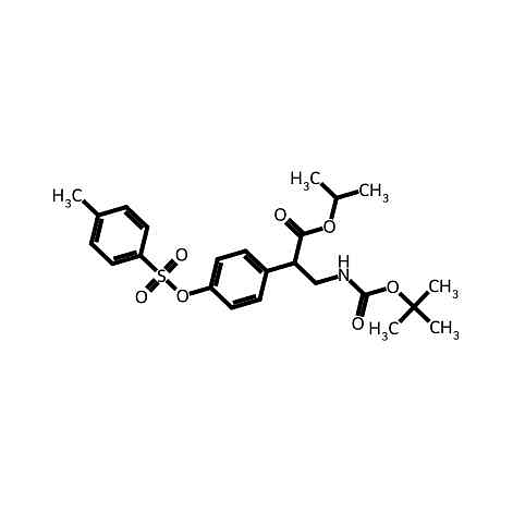 Cc1ccc(S(=O)(=O)Oc2ccc(C(CNC(=O)OC(C)(C)C)C(=O)OC(C)C)cc2)cc1